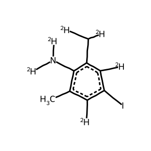 [2H]c1c(C)c(N([2H])[2H])c(C([2H])[2H])c([2H])c1I